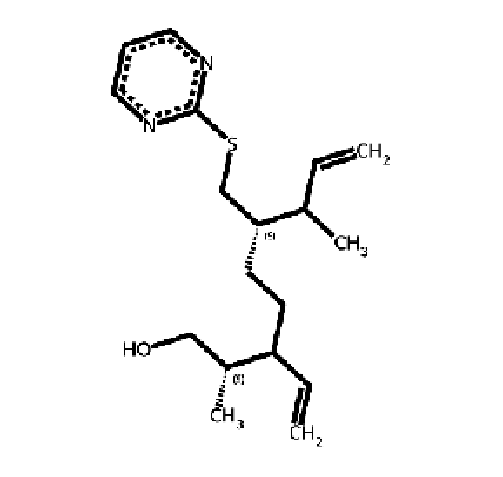 C=CC(C)[C@H](CCC(C=C)[C@H](C)CO)CSc1ncccn1